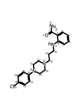 NC(=O)c1ccccc1NCCCN1CCN(c2ccc(Cl)cc2)CC1